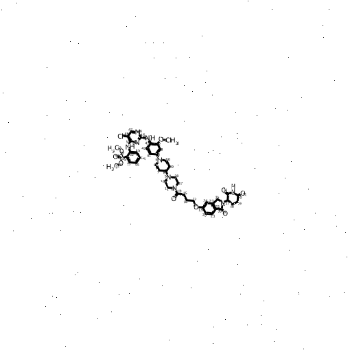 COc1cc(N2CCC(N3CCN(C(=O)CCCOc4ccc5c(c4)CN(C4CCC(=O)NC4=O)C5=O)CC3)CC2)ccc1Nc1ncc(Cl)c(Nc2ccccc2P(=O)(OC)OC)n1